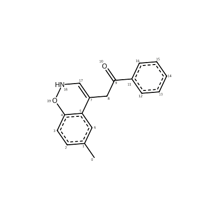 Cc1ccc2c(c1)C(CC(=O)c1ccccc1)=CNO2